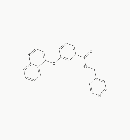 O=C(NCc1ccncc1)c1cccc(Oc2ccnc3ccccc23)c1